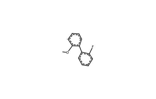 COc1[c]cccc1-c1ccccc1F